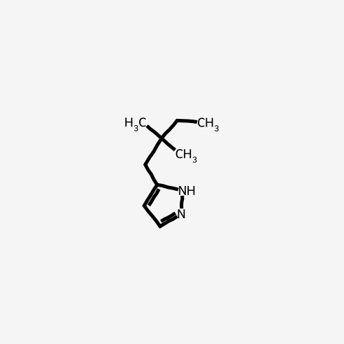 CCC(C)(C)Cc1ccn[nH]1